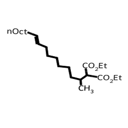 CCCCCCCCC=CCCCCCCC(C)C(C(=O)OCC)C(=O)OCC